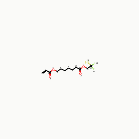 C=CC(=O)OCCCCCCC(=O)OCC(F)(F)S